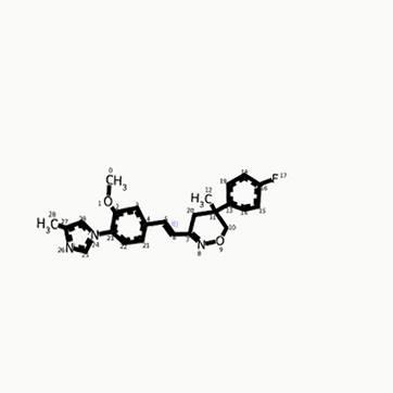 COc1cc(/C=C/C2=NOCC(C)(c3ccc(F)cc3)C2)ccc1-n1cnc(C)c1